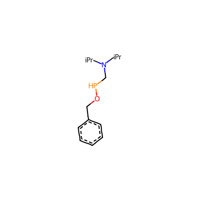 CC(C)N(CPOCc1ccccc1)C(C)C